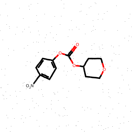 O=C(Oc1ccc([N+](=O)[O-])cc1)OC1CCOCC1